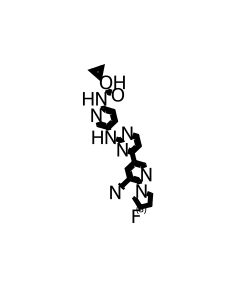 C1CC1.N#Cc1cc(-c2ccnc(Nc3ccc(NC(=O)O)nc3)n2)cnc1N1CC[C@H](F)C1